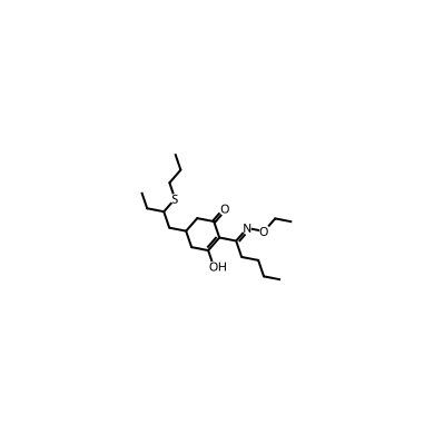 CCCCC(=NOCC)C1=C(O)CC(CC(CC)SCCC)CC1=O